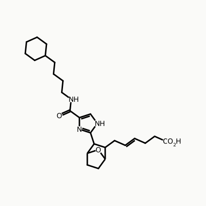 O=C(O)CCC=CCC1C2CCC(O2)C1c1nc(C(=O)NCCCCC2CCCCC2)c[nH]1